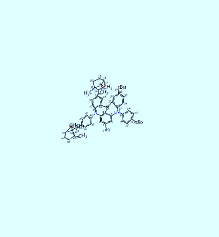 CC(C)c1cc2c3c(c1)N(c1ccc(C(C)(C)C)cc1)c1ccc(C(C)(C)C)cc1B3c1cc(C3CC4CCC3(C)C4(C)C)ccc1N2c1ccc(C2CC3CCC2(C)C3(C)C)cc1